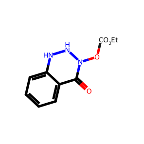 CCOC(=O)ON1NNc2ccccc2C1=O